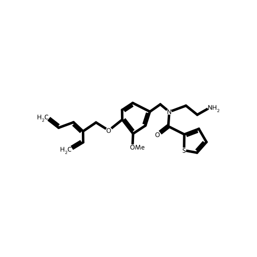 C=C/C=C(\C=C)COc1ccc(CN(CCN)C(=O)c2cccs2)cc1OC